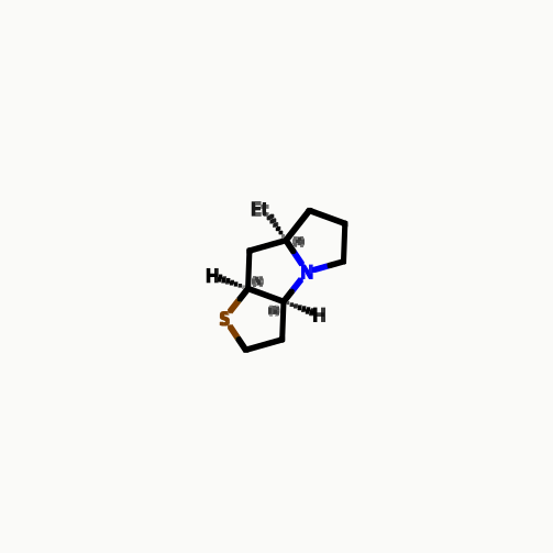 CC[C@]12CCCN1[C@H]1CCS[C@H]1C2